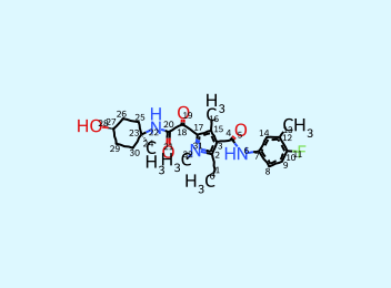 CCc1c(C(=O)Nc2ccc(F)c(C)c2)c(C)c(C(=O)C(=O)N[C@]2(C)CC[C@H](O)CC2)n1C